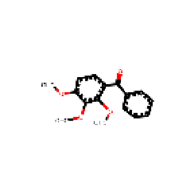 O=COc1ccc(C(=O)c2ccccc2)c(OC=O)c1OC=O